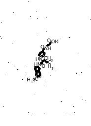 CC[C@H](C)[C@H](Nc1ccc(C(=O)NCCC(=O)O)cc1)C(=O)Nc1ccc2cc(OC)ccc2c1